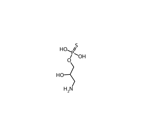 NCC(O)COP(O)(O)=S